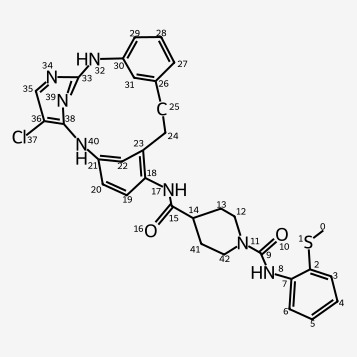 CSc1ccccc1NC(=O)N1CCC(C(=O)Nc2ccc3cc2CCc2cccc(c2)Nc2ncc(Cl)c(n2)N3)CC1